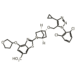 O=C(O)c1cc(O[C@H]2CCOC2)c2nc(N3C[C@@H]4C[C@H]3C[C@H]4OCc3c(C4CC4)nnn3-c3c(Cl)cccc3Cl)sc2c1